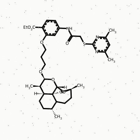 CCOC(=O)c1ccc(NC(=O)CSc2nc(C)cc(C)n2)cc1OCCCO[C@H]1O[C@@H]2O[C@@]3(C)CCC4[C@H](C)CC[C@@H]([C@H]1C)[C@]42OO3